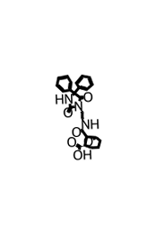 O=C(NCCN1C(=O)NC(c2ccccc2)(c2ccccc2)C1=O)C1C2CCC(O2)[C@@H]1C(=O)O